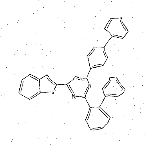 c1ccc(-c2ccc(-c3cc(-c4cc5ccccc5s4)nc(-c4ccccc4-c4ccccc4)n3)cc2)cc1